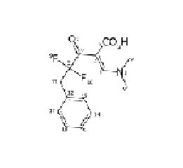 CN(C)C=C(C(=O)O)C(=O)C(F)(F)Cc1ccccc1